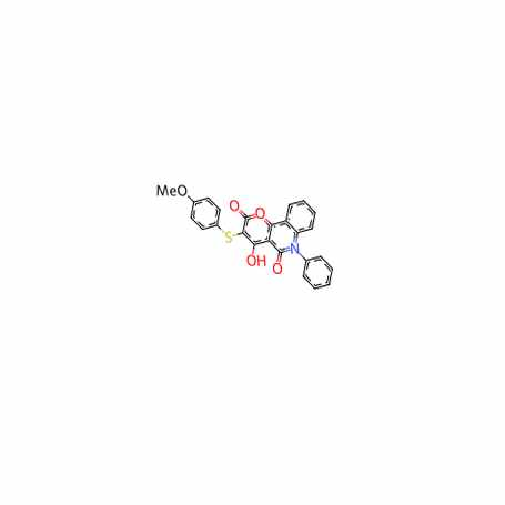 COc1ccc(Sc2c(O)c3c(=O)n(-c4ccccc4)c4ccccc4c3oc2=O)cc1